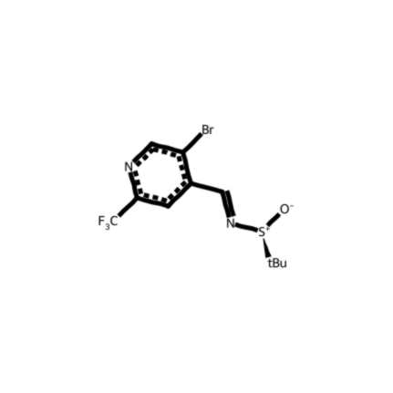 CC(C)(C)[S@+]([O-])/N=C/c1cc(C(F)(F)F)ncc1Br